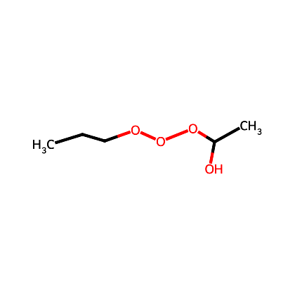 CCCOOOC(C)O